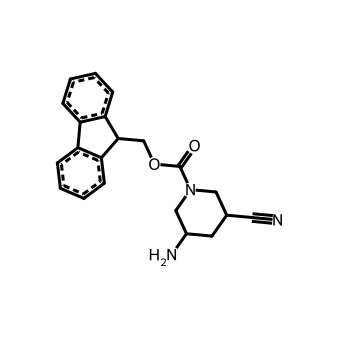 N#CC1CC(N)CN(C(=O)OCC2c3ccccc3-c3ccccc32)C1